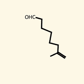 C=C(C)CCCCCC=O